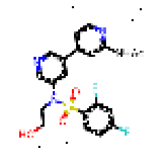 CC(=O)Nc1cc(-c2cncc(N(CCO)S(=O)(=O)c3ccc(F)cc3F)c2)ccn1